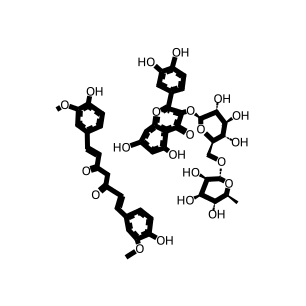 COc1cc(/C=C/C(=O)CC(=O)/C=C/c2ccc(O)c(OC)c2)ccc1O.C[C@@H]1O[C@@H](OC[C@H]2O[C@@H](Oc3c(-c4ccc(O)c(O)c4)oc4cc(O)cc(O)c4c3=O)[C@H](O)[C@@H](O)[C@@H]2O)[C@H](O)[C@H](O)[C@H]1O